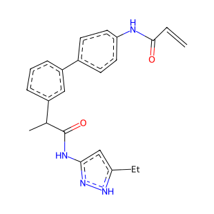 C=CC(=O)Nc1ccc(-c2cccc(C(C)C(=O)Nc3cc(CC)[nH]n3)c2)cc1